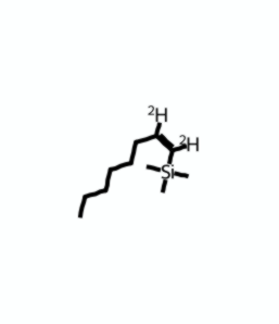 [2H]C(CCCCCC)=C([2H])[Si](C)(C)C